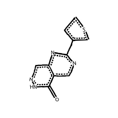 O=c1[nH]ncc2nc(-c3ccsc3)ncc12